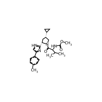 COC(=O)N[C@H](C(=O)N1C[C@@H](C2CC2)C[C@H]1c1nc(-c2ccc(C)cc2)c[nH]1)C(C)C